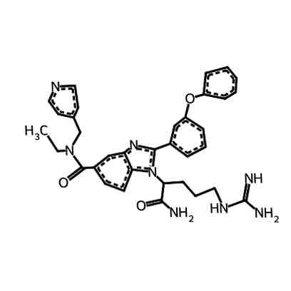 CCN(Cc1ccncc1)C(=O)c1ccc2c(c1)nc(-c1cccc(Oc3ccccc3)c1)n2C(CCCNC(=N)N)C(N)=O